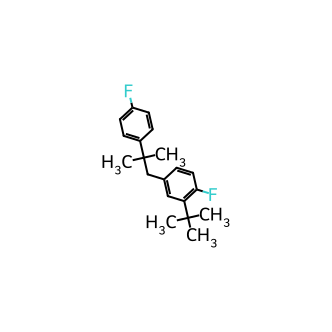 CC(C)(C)c1cc(CC(C)(C)c2ccc(F)cc2)ccc1F